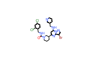 O=C(NCc1ccc(Cl)cc1Cl)N1CCCC(c2cc(NCc3cccnc3)n3ncc(Br)c3n2)C1